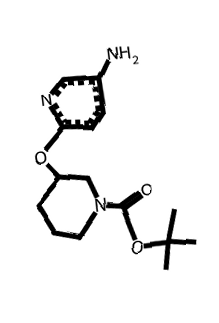 CC(C)(C)OC(=O)N1CCCC(Oc2ccc(N)cn2)C1